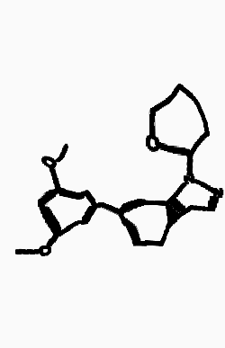 COc1cc(OC)cc(C2CCc3cnn(C4CCCCO4)c3C2)c1